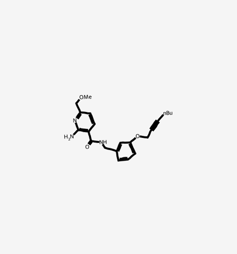 CCCCC#CCOc1cccc(CNC(=O)c2ccc(COC)nc2N)c1